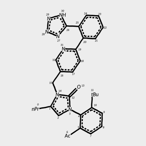 CCCc1cn(-c2c(C(C)=O)cccc2C(C)(C)C)c(=O)n1Cc1ccc(-c2ccccc2-c2nnn[nH]2)nc1